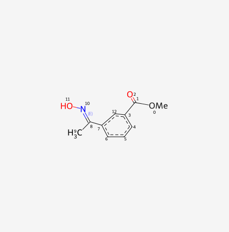 COC(=O)c1cccc(/C(C)=N/O)c1